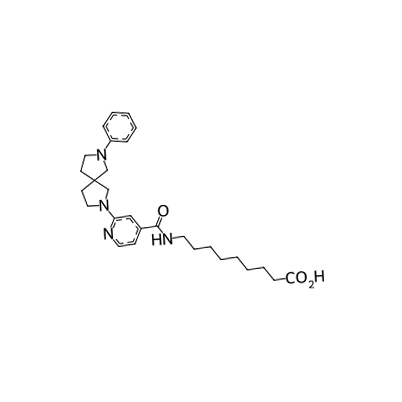 O=C(O)CCCCCCCCNC(=O)c1ccnc(N2CCC3(CCN(c4ccccc4)C3)C2)c1